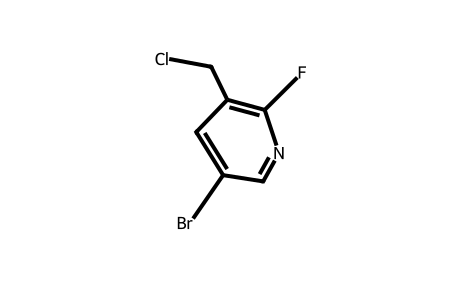 Fc1ncc(Br)cc1CCl